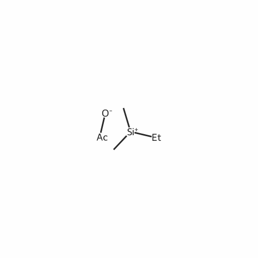 CC(=O)[O-].CC[Si+](C)C